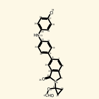 O=COC1(N2Cc3ccc(-c4ccc(Nc5ccc(Cl)cc5)cc4)cc3C2=O)CC1